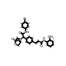 Nc1ccccc1NC(=O)/C=C/c1ccc(C(C(=O)Nc2ccc(Br)cc2)N2C[C@@H]3CC2CO3)cc1